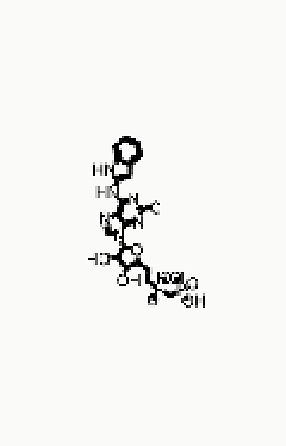 O=P(O)(O)CP(=O)(O)CCC1OC(n2cnc3c(Nc4cc5ccccc5[nH]4)nc(Cl)nc32)C(O)C1O